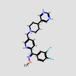 CCO/N=C(\c1ccc(F)c(F)c1)c1ccc(CN2CCC(c3cncnc3)CC2)cn1